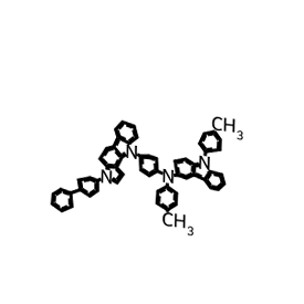 Cc1ccc(N(c2ccc(-n3c4ccccc4c4ccc5c(ccn5-c5ccc(-c6ccccc6)cc5)c43)cc2)c2ccc3c(c2)c2ccccc2n3-c2ccc(C)cc2)cc1